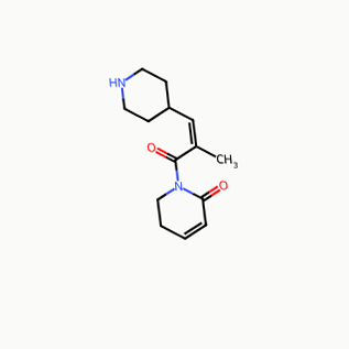 CC(=CC1CCNCC1)C(=O)N1CCC=CC1=O